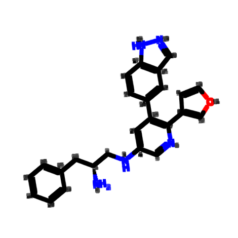 N[C@@H](CNc1cnc(-c2ccoc2)c(-c2ccc3[nH]ncc3c2)c1)Cc1ccccc1